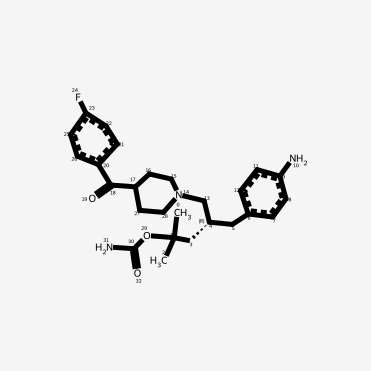 CC(C)(C[C@@H](Cc1ccc(N)cc1)CN1CCC(C(=O)c2ccc(F)cc2)CC1)OC(N)=O